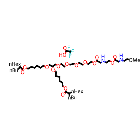 CCCCCCC(CCCC)C(=O)OCCCCCCOCC(COCCOCCOCCOCCOC(=O)CNCCOC(=O)CNCCOC)OCCCCCCOC(=O)C(CCCC)CCCCCC.O=C(O)C(F)(F)F